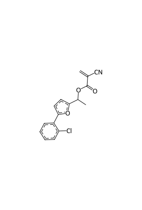 C=C(C#N)C(=O)OC(C)c1ccc(-c2ccccc2Cl)o1